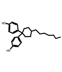 CCCCCCCC1CCC(c2ccc(O)cc2)(c2ccc(O)cc2)CC1